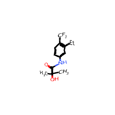 CCc1cc(NC(=O)C(C)(C)O)ccc1C(F)(F)F